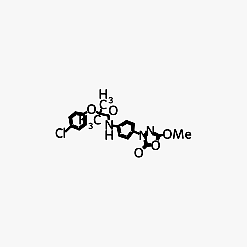 COc1nn(-c2ccc(NC(=O)C(C)(C)Oc3ccc(Cl)cc3)cc2)c(=O)o1